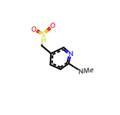 CNc1ccc(C[SH](=O)=O)cn1